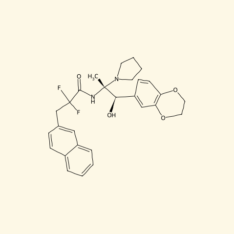 C[C@](NC(=O)C(F)(F)Cc1ccc2ccccc2c1)([C@H](O)c1ccc2c(c1)OCCO2)N1CCCC1